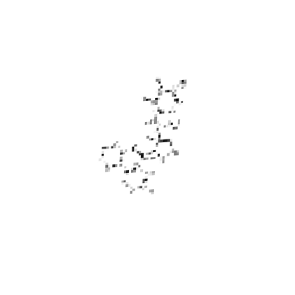 Cc1ccc(-c2ccccc2)c(C(=O)N2CCCC2(C)c2nc3c(C)c(C)c(Br)cc3[nH]2)c1